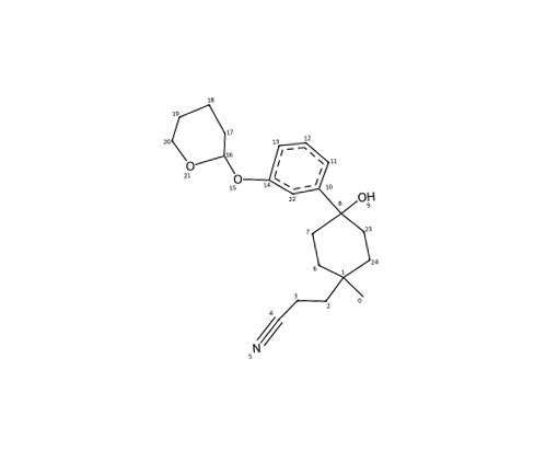 CC1(CCC#N)CCC(O)(c2cccc(OC3CCCCO3)c2)CC1